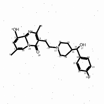 Cc1cc(O)c2nc(C)c(CCN3CCC(C(O)c4ccc(F)cc4)CC3)c(=O)n2c1